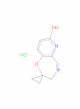 Cl.Oc1ccc2c(n1)C=NCC1(CC1)O2